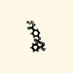 COC(=O)C1CCC(OS(=O)(=O)c2ccccc2[N+](=O)[O-])CC1